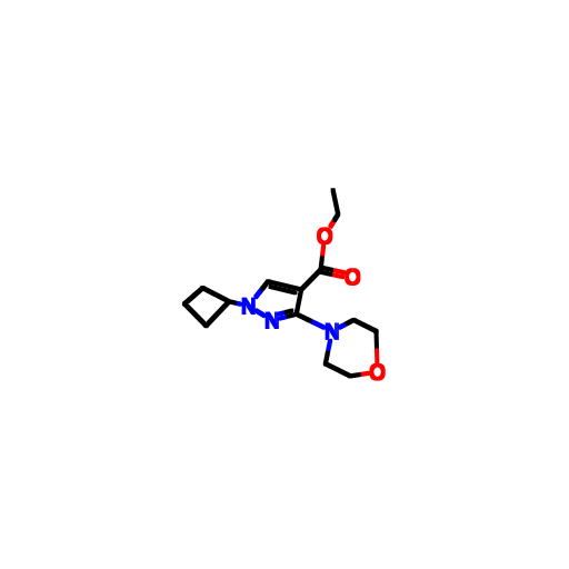 CCOC(=O)c1cn(C2CCC2)nc1N1CCOCC1